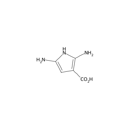 Nc1cc(C(=O)O)c(N)[nH]1